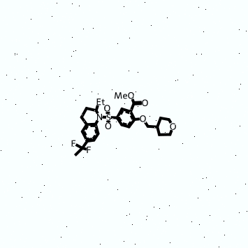 CCC1CCc2cc(C(C)(F)F)ccc2N1S(=O)(=O)c1ccc(OCC2CCOCC2)c(C(=O)OC)c1